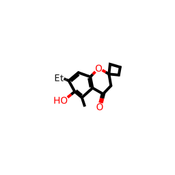 CCc1cc2c(c(C)c1O)C(=O)CC1(CCC1)O2